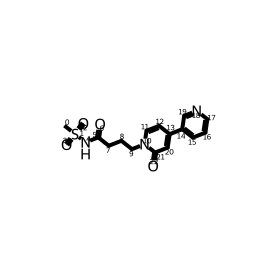 CS(=O)(=O)NC(=O)CCCn1ccc(-c2cccnc2)cc1=O